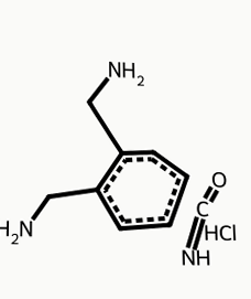 Cl.N=C=O.NCc1ccccc1CN